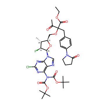 CCOC(=O)C(Cc1ccc(N2CCCC2=O)cc1)(OC[C@H]1O[C@@H](n2cnc3c(N(C(=O)OC(C)(C)C)C(=O)OC(C)(C)C)nc(Cl)nc32)[C@@H](F)[C@@H]1C)C(C)=O